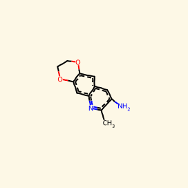 Cc1nc2cc3c(cc2cc1N)OCCO3